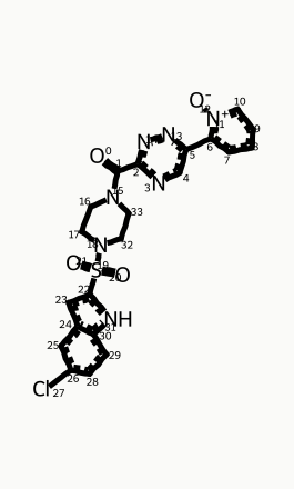 O=C(c1ncc(-c2cccc[n+]2[O-])nn1)N1CCN(S(=O)(=O)c2cc3cc(Cl)ccc3[nH]2)CC1